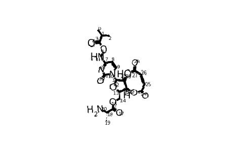 CC(C)C(=O)ONc1ccn([C@@H]2O[C@H](COC(=O)[C@H](C)N)[C@H]3OC(=O)/C=C\C(=O)O[C@H]32)c(=O)n1